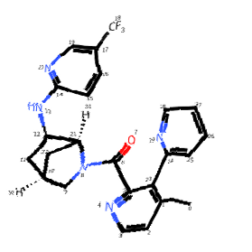 Cc1ccnc(C(=O)N2C[C@H]3C[C@@H](Nc4ccc(C(F)(F)F)cn4)[C@@H]2C3)c1-c1ccccn1